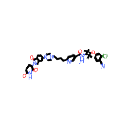 CC1(C)C(NC(=O)c2ccc(CCCCN3CCN(c4ccc5c(c4)CN(C4CCC(=O)NC4=O)C5=O)CC3)nc2)C(C)(C)C1Oc1ccc(C#N)c(Cl)c1